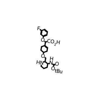 CC(C)(C)OC(=O)NC1CCCNC1COC1CC=C(C(Oc2cccc(F)c2)C(=O)O)CC1